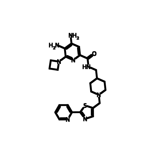 Nc1cc(C(=O)NCC2CCN(Cc3cnc(-c4ccccn4)s3)CC2)nc(N2CCC2)c1N